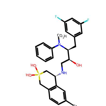 CCc1ccc2c(c1)[C@@H](NC[C@H](O)[C@H](Cc1cc(F)cc(F)c1)N(C(=O)O)c1ccccc1)CS(O)(O)C2